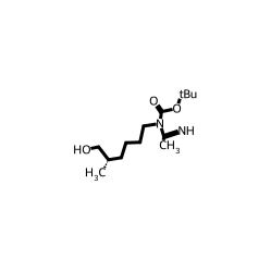 CC(=N)N(CCCC[C@H](C)CO)C(=O)OC(C)(C)C